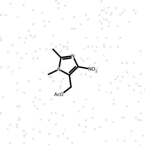 CC(=O)OCc1c([N+](=O)[O-])nc(C)n1C